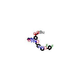 CC(C)(C)OCC(=O)c1ccc(NC(=O)CC2CCN(c3cccc(OCc4ccc(F)cc4F)n3)CC2)c(NC[C@@H]2CCO2)c1